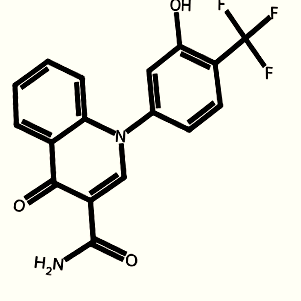 NC(=O)c1cn(-c2ccc(C(F)(F)F)c(O)c2)c2ccccc2c1=O